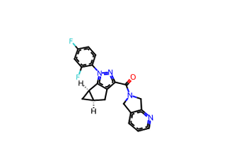 O=C(c1nn(-c2ccc(F)cc2F)c2c1C[C@H]1C[C@@H]21)N1Cc2cccnc2C1